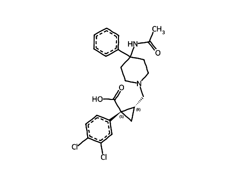 CC(=O)NC1(c2ccccc2)CCN(C[C@@H]2C[C@@]2(C(=O)O)c2ccc(Cl)c(Cl)c2)CC1